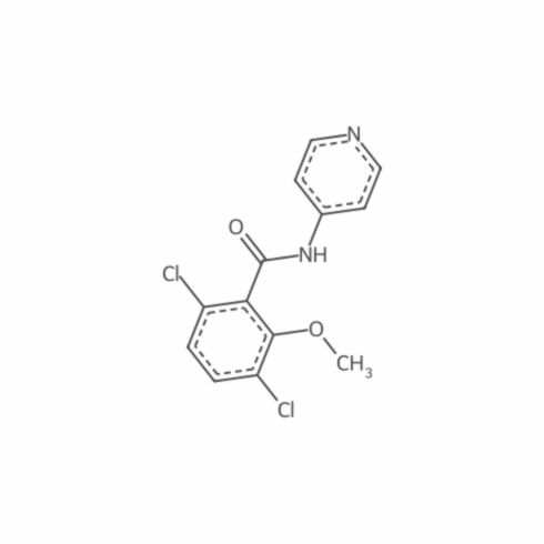 COc1c(Cl)ccc(Cl)c1C(=O)Nc1ccncc1